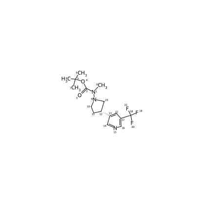 CN(C(=O)OC(C)(C)C)N1CC[C@@H](c2cncc(C(F)(F)F)c2)C1